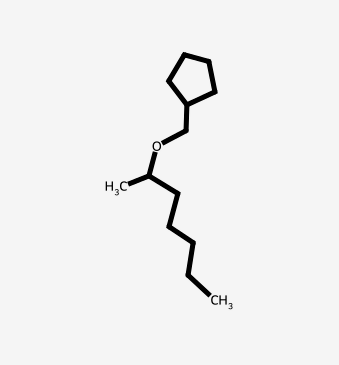 CCCCCC(C)OCC1CCCC1